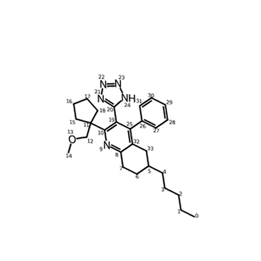 CCCCCC1CCc2nc(C3(COC)CCCC3)c(-c3nnn[nH]3)c(-c3ccccc3)c2C1